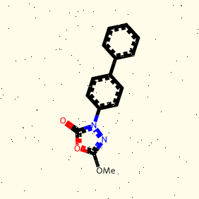 COc1nn(-c2ccc(-c3ccccc3)cc2)c(=O)o1